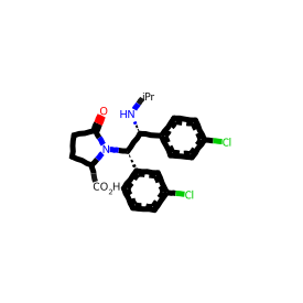 CC(C)N[C@H](c1ccc(Cl)cc1)[C@H](c1cccc(Cl)c1)N1C(=O)CCC1C(=O)O